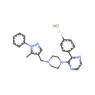 Cc1c(CN2CCN(c3nccnc3-c3ccc(F)cc3)CC2)cnn1-c1ccccc1.Cl